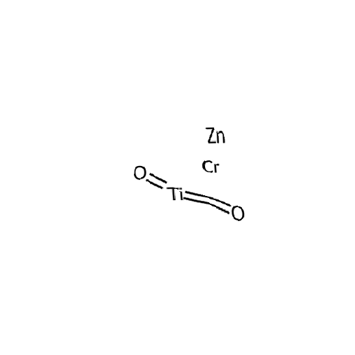 [Cr].[O]=[Ti]=[O].[Zn]